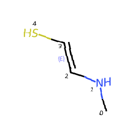 CN/C=C/S